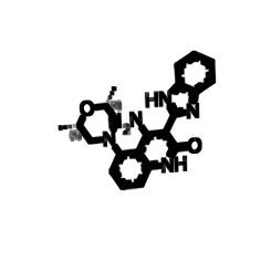 C[C@@H]1CN(c2cccc3[nH]c(=O)c(-c4nc5ccccc5[nH]4)c(N)c23)C[C@H](C)O1